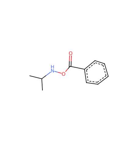 CC(C)NOC(=O)c1ccccc1